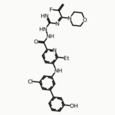 C=C(F)/C(=N\C(=N)NNC(=O)c1ccc(Nc2cc(Cl)cc(-c3cccc(O)c3)c2)c(CC)n1)N1CCOCC1